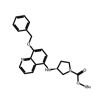 CC(C)(C)OC(=O)N1CC[C@H](Nc2ccc(OCc3ccccc3)c3ncccc23)C1